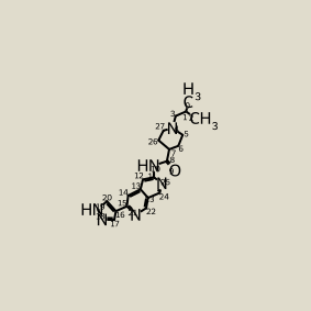 CC(C)CN1CCC(C(=O)Nc2cc3cc(-c4cn[nH]c4)ncc3cn2)CC1